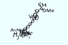 C#Cc1cc(OC)cc(-c2cccc(COC(=O)NCCOCCOCCOCCOC3O[C@H](CN=[N+]=[N-])[C@@H]4OC(C)(C)O[C@@H]4[C@H]3NC(C)=O)c2)c1